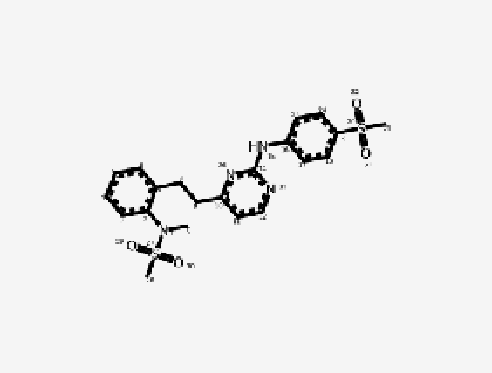 CN(c1ccccc1CCc1ccnc(Nc2ccc(S(C)(=O)=O)cc2)n1)S(C)(=O)=O